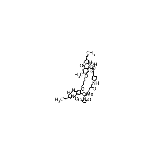 C/C=C/C1=CN2C(=O)c3cc(OC)c(OCCCCCOc4cc5c(cc4C)C(=O)N4C=C(/C=C/C)C[C@H]4[C@H](O)N5C(=O)OCc4ccc(NCC(=O)CCCCCN5C(=O)C=CC5=O)cc4)cc3N=C[C@@H]2C1